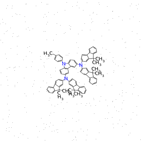 Cc1ccc(-n2c3ccc(N(c4ccc5c(c4)C(C)(C)c4ccccc4-5)c4ccc5c(c4)C(C)(C)c4ccccc4-5)cc3c3cc(N(c4ccc5c(c4)C(C)(C)c4ccccc4-5)c4ccc5c(c4)C(C)(C)c4ccccc4-5)ccc32)cc1